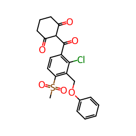 CS(=O)(=O)c1ccc(C(=O)C2C(=O)CCCC2=O)c(Cl)c1COc1ccccc1